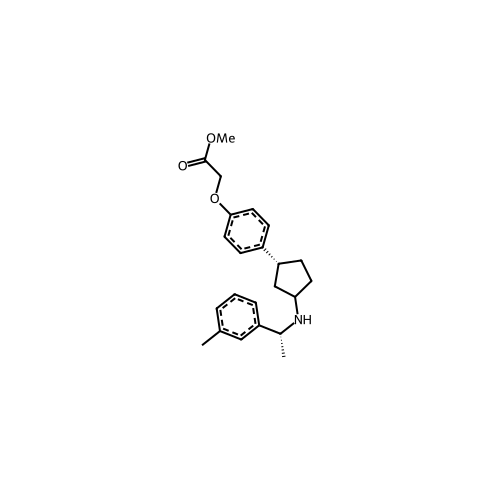 COC(=O)COc1ccc([C@@H]2CCC(N[C@H](C)c3cccc(C)c3)C2)cc1